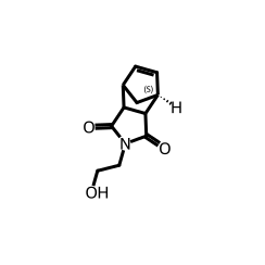 O=C1C2C3C=C[C@H](C3)C2C(=O)N1CCO